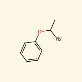 C[CH]([Pb])Oc1ccccc1